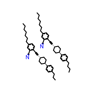 CCCCCCCc1ccc(C#C[C@H]2CC[C@H](c3ccc(CCC)cc3)CC2)c(C#N)c1.CCCCCCCc1ccc(C#C[C@H]2CC[C@H](c3ccc(CCCC)cc3)CC2)c(C#N)c1